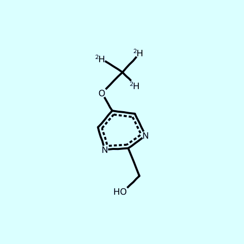 [2H]C([2H])([2H])Oc1cnc(CO)nc1